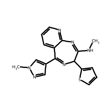 CNC1=Nc2ncccc2C(c2cnn(C)c2)=NC1c1cccs1